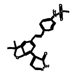 CC1(C)COc2c(-c3ccn[nH]c3=O)cc(C=Cc3ccc(NS(C)(=O)=O)cc3)cc21